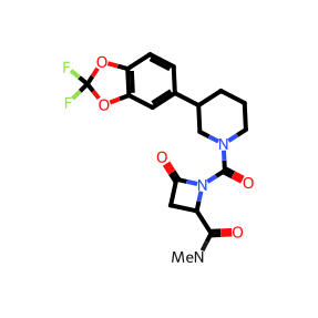 CNC(=O)C1CC(=O)N1C(=O)N1CCCC(c2ccc3c(c2)OC(F)(F)O3)C1